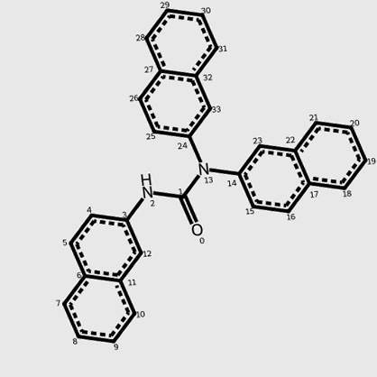 O=C(Nc1ccc2ccccc2c1)N(c1ccc2ccccc2c1)c1ccc2ccccc2c1